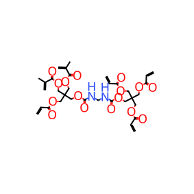 C=CC(=O)OCC(COC(=O)C=C)(COC(=O)C=C)COC(=O)NCNC(=O)OCC(COC(=O)C=C)(COC(=O)C(=C)C)COC(=O)C(=C)C